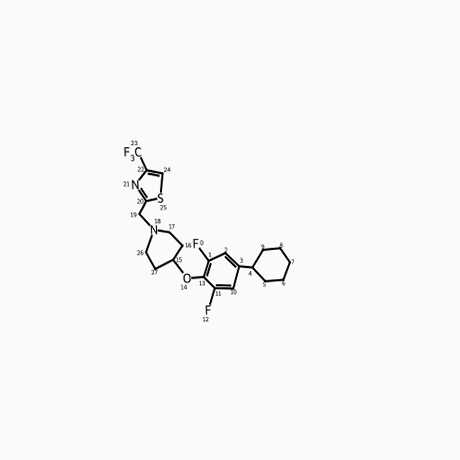 Fc1cc(C2CCCCC2)cc(F)c1OC1CCN(Cc2nc(C(F)(F)F)cs2)CC1